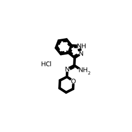 Cl.NC(=NC1CCCCO1)c1n[nH]c2ccccc12